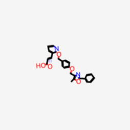 Cc1oc(-c2ccccc2)nc1COc1ccc(COc2ncccc2/C=C/C(=O)O)cc1